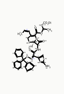 C/C=C\C1=C(C(=O)OC(C)OC(=O)OCC)N2C(=O)C(NC(=O)/C(=N\OC(c3ccccc3)(c3ccccc3)c3ccccc3)c3csc(N)n3)[C@H]2SC1